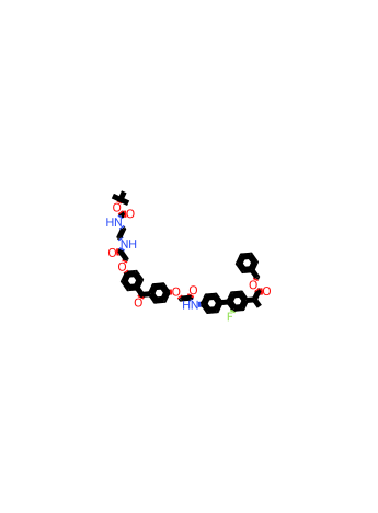 CC(C(=O)OCc1ccccc1)c1ccc(-c2ccc(NC(=O)COc3ccc(C(=O)c4ccc(OCC(=O)NCCNC(=O)OC(C)(C)C)cc4)cc3)cc2)c(F)c1